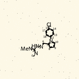 CN=C(NC)NN=Cc1cccn1-c1ccc(Cl)cc1